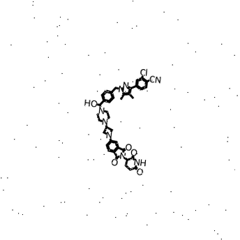 Cc1c(-c2ccc(C#N)c(Cl)c2)nn(Cc2ccc(C(O)N3CCN(C4CN(c5ccc6c(c5)C(=O)N(C5CCC(=O)NC5=O)C6=O)C4)CC3)cc2)c1C